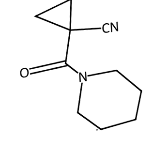 N#CC1(C(=O)N2C[CH]CCC2)CC1